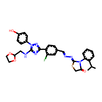 CC(C)c1ccccc1N1C(=O)CS/C1=N\N=C\c1ccc(-c2nc(NCC3OCCO3)n(-c3ccc(O)cc3)n2)c(F)c1